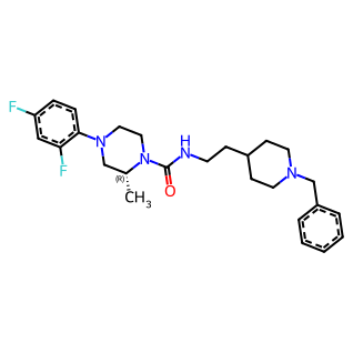 C[C@@H]1CN(c2ccc(F)cc2F)CCN1C(=O)NCCC1CCN(Cc2ccccc2)CC1